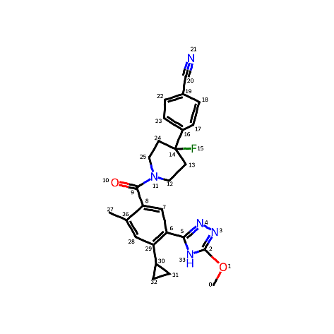 COc1nnc(-c2cc(C(=O)N3CCC(F)(c4ccc(C#N)cc4)CC3)c(C)cc2C2CC2)[nH]1